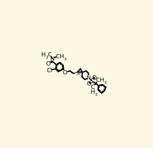 CN(C)C(=O)c1ccc(OCC[C@H]2CC23CCN(S(=O)(=O)C(C)(C)c2ccccc2)CC3)cc1Cl